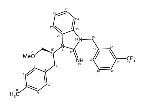 COC[C@H](Cc1ccc(C)cc1)n1c(=N)n(Cc2cccc(C(F)(F)F)c2)c2ccccc21